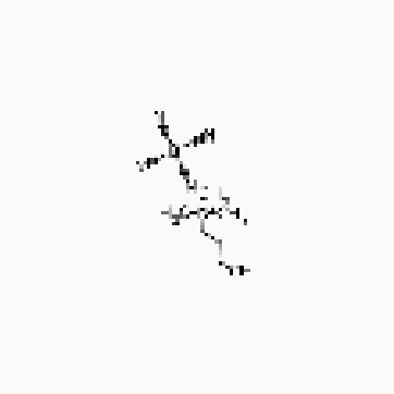 CCCC[N+](C)(C)C.N#C[B-](C#N)(C#N)C#N